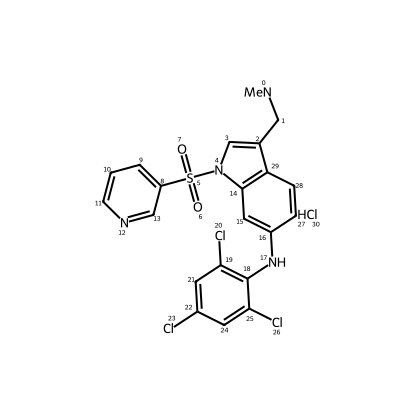 CNCc1cn(S(=O)(=O)c2cccnc2)c2cc(Nc3c(Cl)cc(Cl)cc3Cl)ccc12.Cl